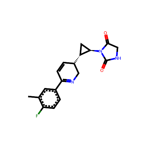 Cc1cc(C2=NCC([C@@H]3C[C@H]3N3C(=O)CNC3=O)C=C2)ccc1F